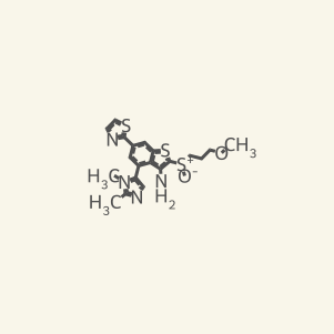 COCCC[S+]([O-])c1sc2cc(-c3nccs3)cc(-c3cnc(C)n3C)c2c1N